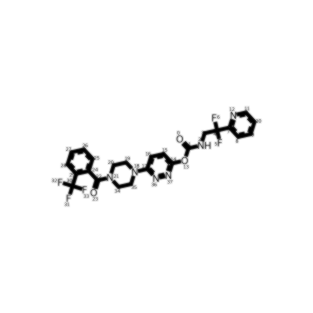 O=C(NCC(F)(F)c1ccccn1)Oc1ccc(N2CCN(C(=O)c3ccccc3C(F)(F)F)CC2)nn1